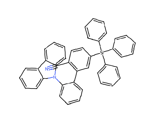 N#Cc1ccc([Si](c2ccccc2)(c2ccccc2)c2ccccc2)cc1-c1ccccc1-n1c2ccccc2c2ccccc21